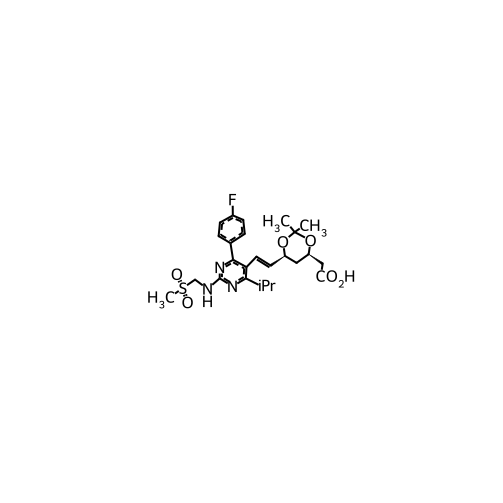 CC(C)c1nc(NCS(C)(=O)=O)nc(-c2ccc(F)cc2)c1/C=C/[C@@H]1C[C@H](CC(=O)O)OC(C)(C)O1